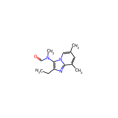 CCc1nc2c(C)cc(C)cn2c1N(C)C=O